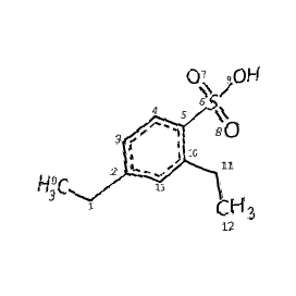 CCc1ccc(S(=O)(=O)O)c(CC)c1